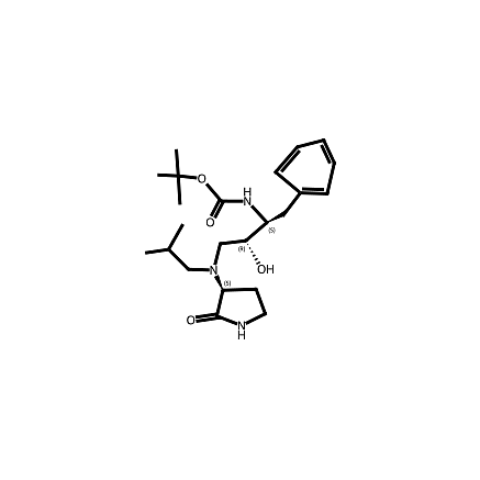 CC(C)CN(C[C@@H](O)[C@H](Cc1ccccc1)NC(=O)OC(C)(C)C)[C@H]1CCNC1=O